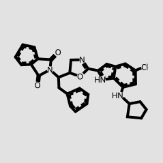 O=C1c2ccccc2C(=O)N1C(Cc1ccccc1)C1CN=C(c2cc3cc(Cl)cc(NC4CCCC4)c3[nH]2)O1